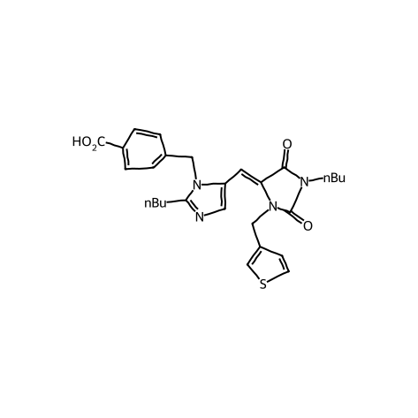 CCCCc1ncc(C=C2C(=O)N(CCCC)C(=O)N2Cc2ccsc2)n1Cc1ccc(C(=O)O)cc1